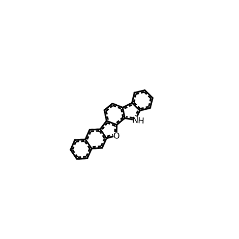 c1ccc2cc3c(cc2c1)oc1c3ccc2c3ccccc3[nH]c21